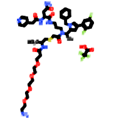 CC(C)(C)C(c1cc(-c2cc(F)ccc2F)cn1Cc1ccccc1)N(CCCNC(=O)C(CC(N)=O)NC(=O)Cc1ccncc1)C(=O)CSCC(NC(=O)CCOCCOCCOCCOCCN)C(=O)O.O=C(O)C(F)(F)F